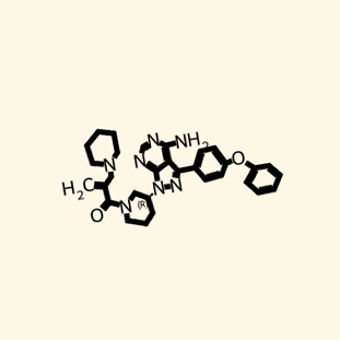 C=C(CN1CCCCC1)C(=O)N1CCC[C@@H](n2nc(-c3ccc(Oc4ccccc4)cc3)c3c(N)ncnc32)C1